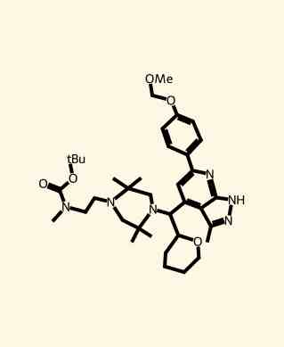 COCOc1ccc(-c2cc(C(C3CCCCO3)N3CC(C)(C)N(CCN(C)C(=O)OC(C)(C)C)CC3(C)C)c3c(C)n[nH]c3n2)cc1